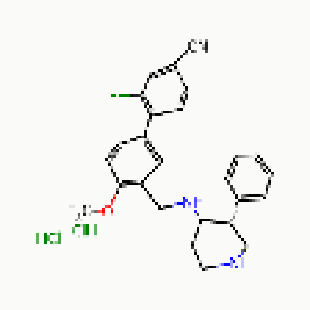 Cl.Cl.N#Cc1ccc(-c2ccc(OC(F)(F)F)c(CN[C@H]3CCNC[C@H]3c3ccccc3)c2)c(F)c1